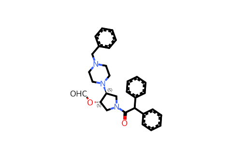 O=CO[C@H]1CN(C(=O)C(c2ccccc2)c2ccccc2)C[C@@H]1N1CCN(Cc2ccccc2)CC1